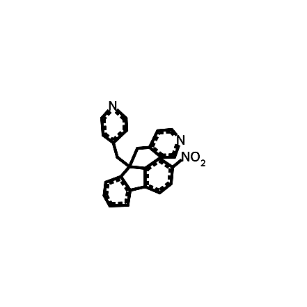 O=[N+]([O-])c1ccc2c(c1)C(Cc1ccncc1)(Cc1ccncc1)c1ccccc1-2